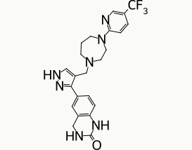 O=C1NCc2cc(-c3n[nH]cc3CN3CCCN(c4ccc(C(F)(F)F)cn4)CC3)ccc2N1